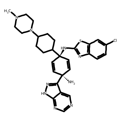 CN1CCN(C2CCC([C@]3(Nc4nc5ccc(Cl)cc5s4)C=C[C@@](N)(c4n[nH]c5ncncc54)C=C3)CC2)CC1